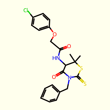 CC1(C)SC(=S)N(Cc2ccccc2)C(=O)C1NC(=O)COc1ccc(Cl)cc1